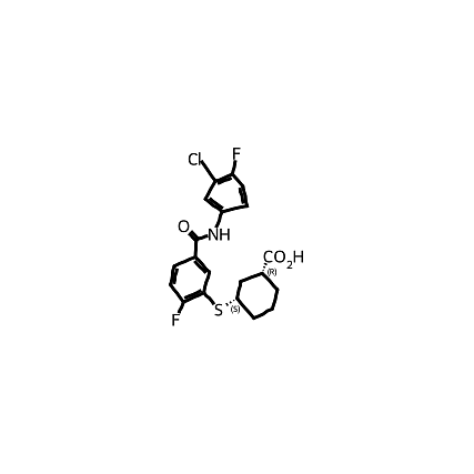 O=C(Nc1ccc(F)c(Cl)c1)c1ccc(F)c(S[C@H]2CCC[C@@H](C(=O)O)C2)c1